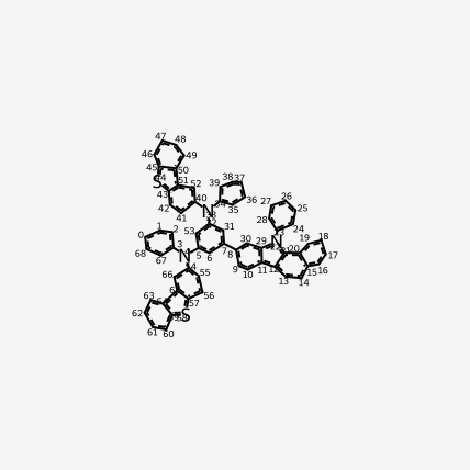 c1ccc(N(c2cc(-c3ccc4c5ccc6ccccc6c5n(-c5ccccc5)c4c3)cc(N(c3ccccc3)c3ccc4sc5ccccc5c4c3)c2)c2ccc3sc4ccccc4c3c2)cc1